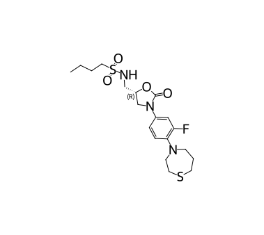 CCCCS(=O)(=O)NC[C@H]1CN(c2ccc(N3CCCSCC3)c(F)c2)C(=O)O1